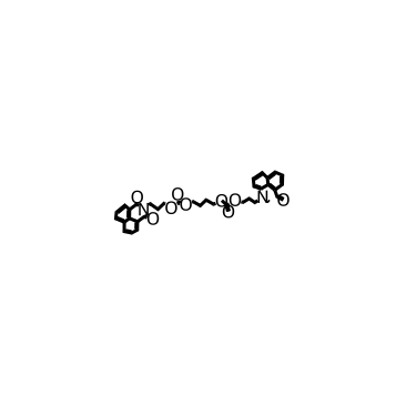 CN(CCCOC(=O)OCCCCOC(=O)OCCCN1C(=O)c2cccc3cccc(c23)C1=O)c1cccc2cccc(C=O)c12